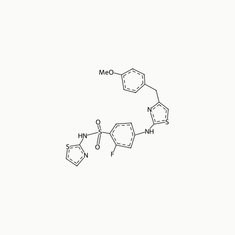 COc1ccc(Cc2csc(Nc3ccc(S(=O)(=O)Nc4nccs4)c(F)c3)n2)cc1